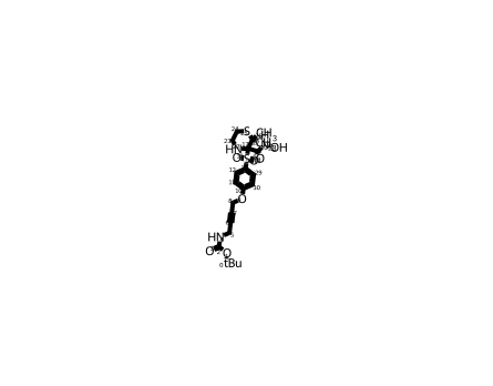 CC(C)(C)OC(=O)NCC#CCOc1ccc(S(=O)(=O)C2(C(=O)NO)NCCSC2(C)C)cc1